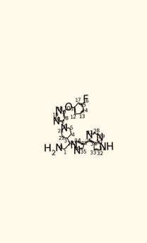 NCC(C1CCN(c2cc(Oc3cccc(F)c3)ncn2)CC1)n1cc(-c2ncnc3[nH]ccc23)cn1